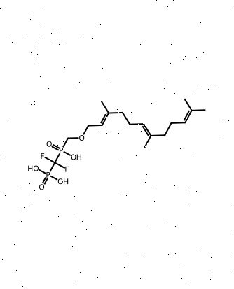 CC(C)=CCCC(C)=CCCC(C)=CCOCP(=O)(O)C(F)(F)P(=O)(O)O